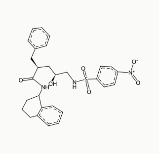 O=C(NC1CCCc2ccccc21)[C@@H](Cc1ccccc1)C[C@H](O)CNS(=O)(=O)c1ccc([N+](=O)[O-])cc1